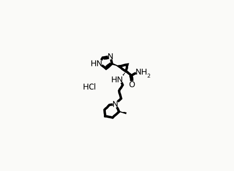 C[C@H]1CCCCN1CCCN[C@@]1(C(N)=O)C[C@@H]1c1c[nH]cn1.Cl